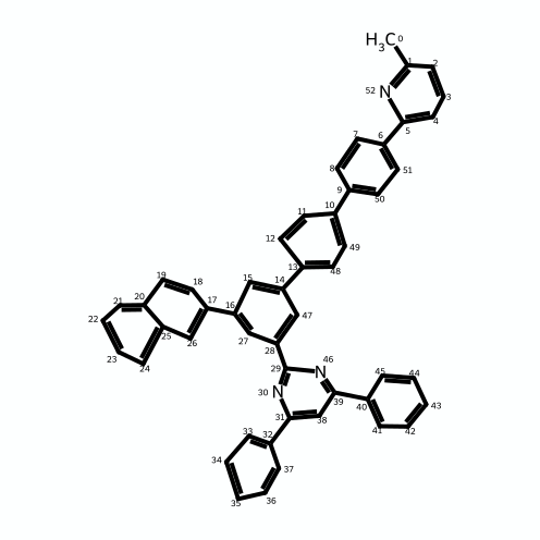 Cc1cccc(-c2ccc(-c3ccc(-c4cc(-c5ccc6ccccc6c5)cc(-c5nc(-c6ccccc6)cc(-c6ccccc6)n5)c4)cc3)cc2)n1